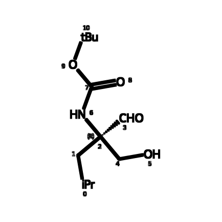 CC(C)C[C@](C=O)(CO)NC(=O)OC(C)(C)C